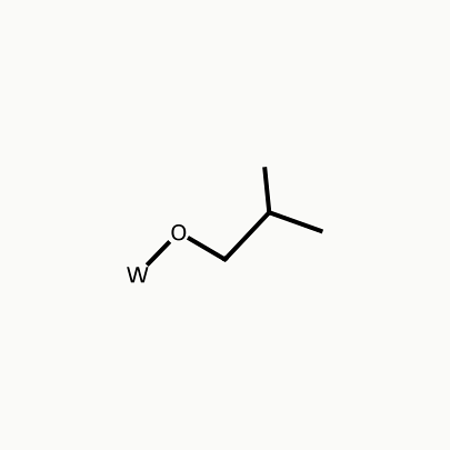 CC(C)C[O][W]